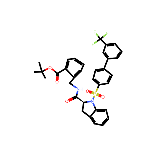 CC(C)(C)OC(=O)c1ccccc1CNC(=O)[C@@H]1Cc2ccccc2N1S(=O)(=O)c1ccc(-c2cccc(C(F)(F)F)c2)cc1